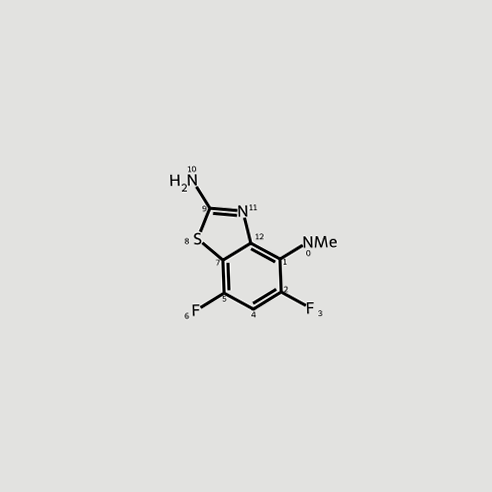 CNc1c(F)cc(F)c2sc(N)nc12